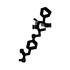 COC(=O)Cc1ccc(OCC(C)N[C@H](C)[C@@H](O)c2ccccc2)cc1